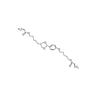 C=CC(=O)OCCCCCOc1ccc(C2OCC(CCCCCOC(=O)C=C)CO2)cc1